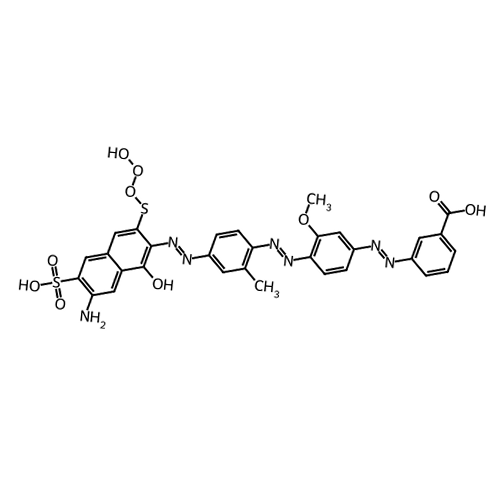 COc1cc(N=Nc2cccc(C(=O)O)c2)ccc1N=Nc1ccc(N=Nc2c(SOOO)cc3cc(S(=O)(=O)O)c(N)cc3c2O)cc1C